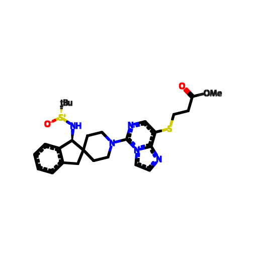 COC(=O)CCSc1cnc(N2CCC3(CC2)Cc2ccccc2[C@H]3N[S@+]([O-])C(C)(C)C)n2ccnc12